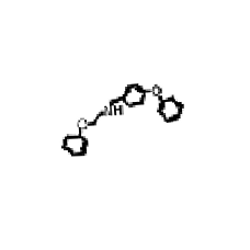 c1ccc(OCCNCc2ccc(Oc3ccccc3)cc2)cc1